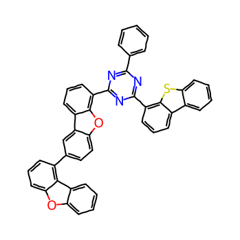 c1ccc(-c2nc(-c3cccc4c3oc3ccc(-c5cccc6oc7ccccc7c56)cc34)nc(-c3cccc4c3sc3ccccc34)n2)cc1